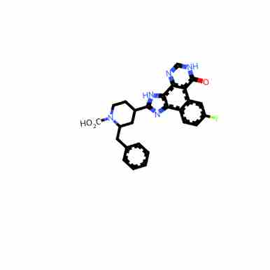 O=C(O)N1CCC(c2nc3c4ccc(F)cc4c4c(=O)[nH]cnc4c3[nH]2)CC1Cc1ccccc1